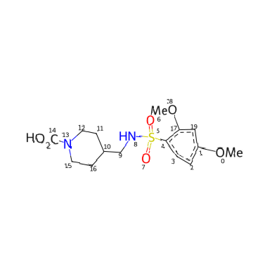 COc1ccc(S(=O)(=O)NCC2CCN(C(=O)O)CC2)c(OC)c1